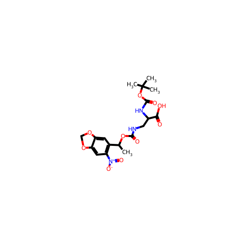 CC(OC(=O)NCC(NC(=O)OC(C)(C)C)C(=O)O)c1cc2c(cc1[N+](=O)[O-])OCO2